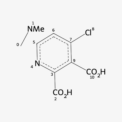 CNC.O=C(O)c1nccc(Cl)c1C(=O)O